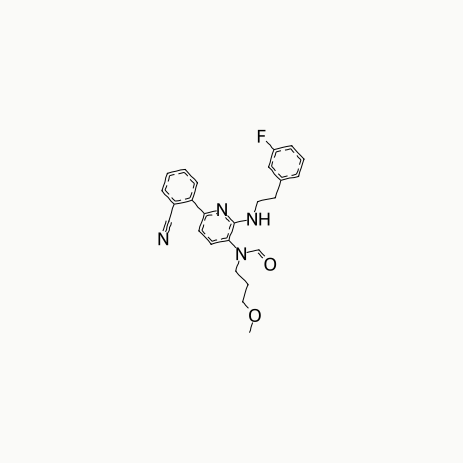 COCCCN(C=O)c1ccc(-c2ccccc2C#N)nc1NCCc1cccc(F)c1